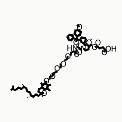 COc1ccc(C(OC[C@H](NC(=O)CCOCCOCCOCCOCCOc2c(C)c(C)c3c(c2C)CC[C@@](C)(CCC[C@H](C)CCC[C@H](C)CCCC(C)C)O3)C(=O)N2CCC(COC(=O)CCC(=O)O)CC2)(c2ccccc2)c2ccc(OC)cc2)cc1